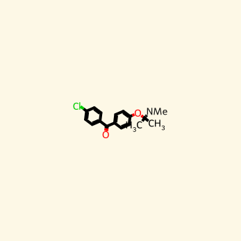 CNC(C)(C)Oc1ccc(C(=O)c2ccc(Cl)cc2)cc1